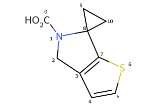 O=C(O)N1Cc2ccsc2C12CC2